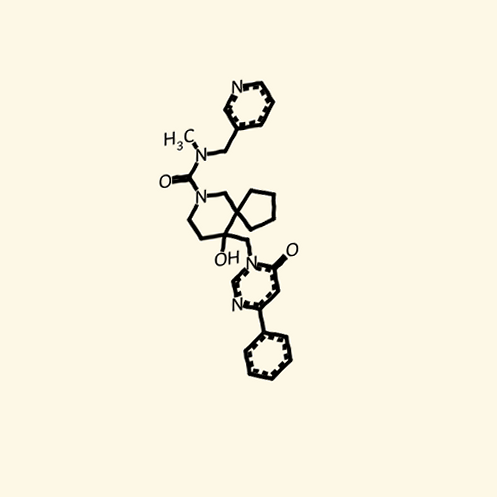 CN(Cc1cccnc1)C(=O)N1CCC(O)(Cn2cnc(-c3ccccc3)cc2=O)C2(CCCC2)C1